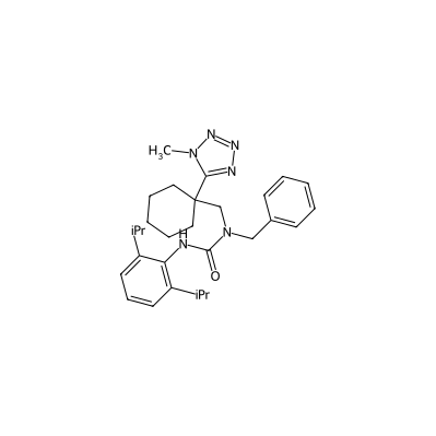 CC(C)c1cccc(C(C)C)c1NC(=O)N(Cc1ccccc1)CC1(c2nnnn2C)CCCCC1